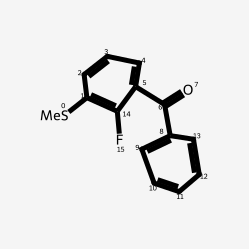 CSc1cccc(C(=O)c2ccccc2)c1F